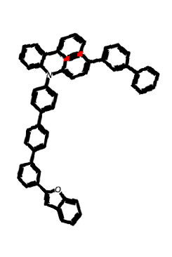 c1ccc(-c2cccc(-c3ccc(N(c4ccc(-c5ccc(-c6cccc(-c7cc8ccccc8o7)c6)cc5)cc4)c4ccccc4-c4ccccc4)cc3)c2)cc1